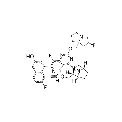 C#Cc1c(F)ccc2cc(O)cc(-c3nc4c5c(nc(OCC67CCCN6C[C@@H](F)C7)nc5c3F)N3C[C@@H]5CC[C@@H](N5)[C@@H]3CO4)c12